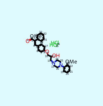 COC(=O)C(=Cc1ccc(OCC(O)CN2CCN(c3ccccc3OC)CC2)cc1)c1ccccc1.Cl.Cl